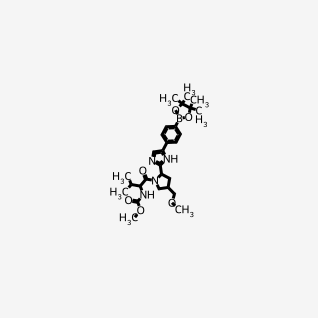 COCC1CC(c2ncc(-c3ccc(B4OC(C)(C)C(C)(C)O4)cc3)[nH]2)N(C(=O)C(NC(=O)OC)C(C)C)C1